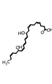 CC/C=C\C[C@@H](O)\C=C/C=C/C=C/[C@H](O)C/C=C\C/C=C\CCC(=O)O